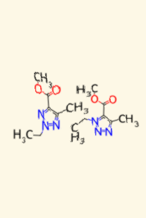 CCn1nc(C)c(C(=O)OC)n1.CCn1nnc(C)c1C(=O)OC